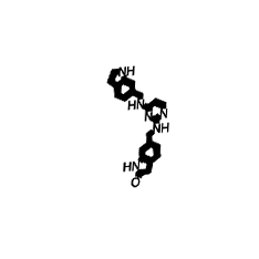 O=C1Cc2ccc(CNc3nccc(NCc4ccc5cc[nH]c5c4)n3)cc2N1